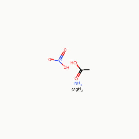 CC(=O)O.N.O=[N+]([O-])O.[MgH2]